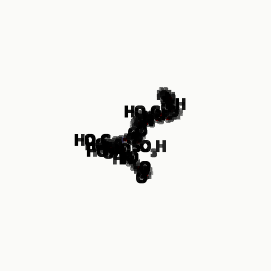 Cc1c(-c2ccc(-c3ccc4cccc(C(=O)Nc5nc6ccccc6s5)c4c3)nc2C(=O)O)cnn1CC12CC3(C)CC(C)(C1)CC(OCCN(CCS(=O)(=O)O)C(=O)OC/C=C/c1ccc(O[C@@H]4C[C@H](C(=O)O)[C@@H](O)[C@H](O)[C@H]4O)c(NC(=O)CCNC(=O)CCCCCN4C(=O)C=CC4=O)c1)(C3)C2